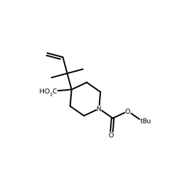 C=CC(C)(C)C1(C(=O)O)CCN(C(=O)OC(C)(C)C)CC1